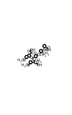 COc1ccc2c(c1)c(CC(=O)O)c(C)n2C(=O)c1ccc(Cl)cc1.COc1ccc2cc([C@H](C)C(=O)O)ccc2c1.Cc1cccc(Nc2ccccc2C(=O)O)c1C